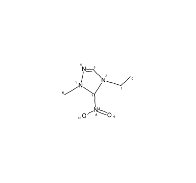 CCN1C=NN(C)C1[N+](=O)[O-]